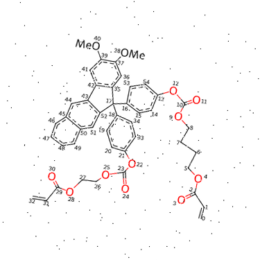 C=CC(=O)OCCCCOC(=O)Oc1ccc(C2(c3ccc(OC(=O)OCCOC(=O)C=C)cc3)c3cc(OC)c(OC)cc3-c3cc4ccccc4cc32)cc1